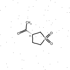 CC(=O)[C@H]1CCS(=O)(=O)C1